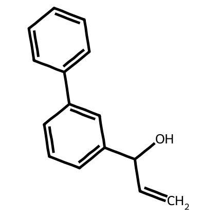 C=CC(O)c1cccc(-c2ccccc2)c1